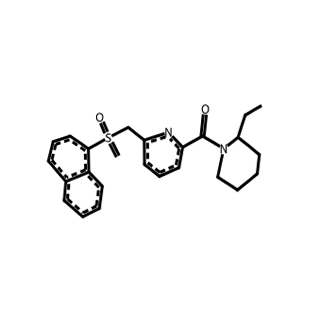 C=S(=O)(Cc1cccc(C(=O)N2CCCCC2CC)n1)c1cccc2ccccc12